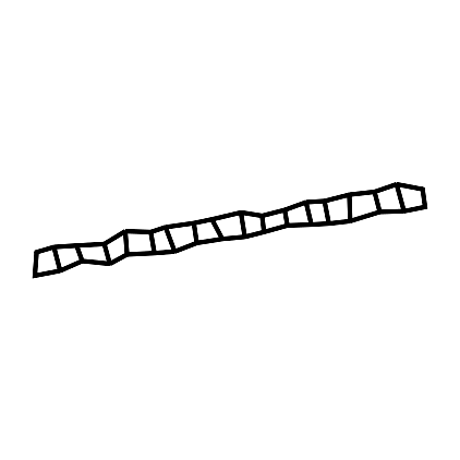 C1CC2C1C1C2C2C1C1C2C2C1C1C2C2C1C1C2C2C3C4C5C6C7C8C9CCC9C8C7C6C5C4C3C12